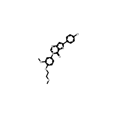 COc1cc(-n2cnc3cc(-c4ccc(Cl)cc4)sc3c2=O)ccc1OCCSC